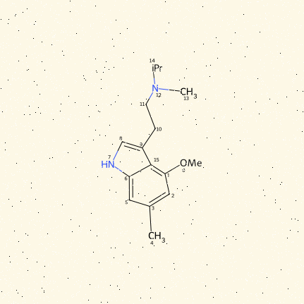 COc1cc(C)cc2[nH]cc(CCN(C)C(C)C)c12